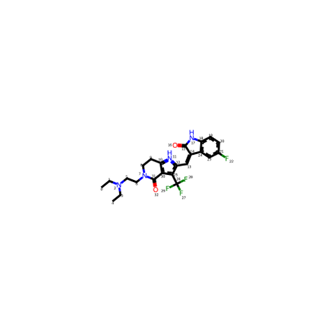 CCN(CC)CCN1CCc2[nH]c(/C=C3\C(=O)Nc4ccc(F)cc43)c(C(F)(F)F)c2C1=O